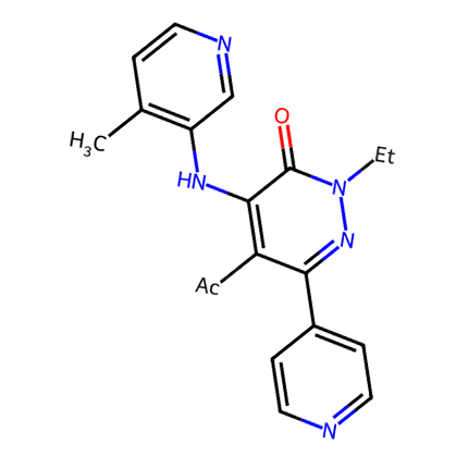 CCn1nc(-c2ccncc2)c(C(C)=O)c(Nc2cnccc2C)c1=O